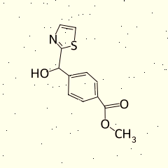 COC(=O)c1ccc(C(O)c2nccs2)cc1